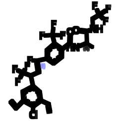 C=Cc1cc(C(/C=C(\F)c2ccc(C(=O)N[C@H](C)C(=O)NCC(F)(F)F)c(C(F)(F)F)c2)C(F)(F)F)cc(C=C)c1Cl